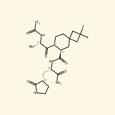 CC(C)(C)[C@H](NC(=O)C(F)(F)F)C(=O)N1CCC2(C[C@H]1C(=O)N[C@@H](C[C@@H]1CCNC1=O)C(N)=O)CC(F)(F)C2